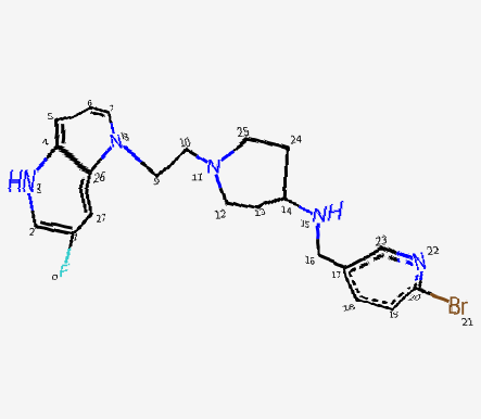 FC1=CNC2=CC=CN(CCN3CCC(NCc4ccc(Br)nc4)CC3)C2=C1